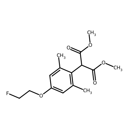 COC(=O)C(C(=O)OC)c1c(C)cc(OCCF)cc1C